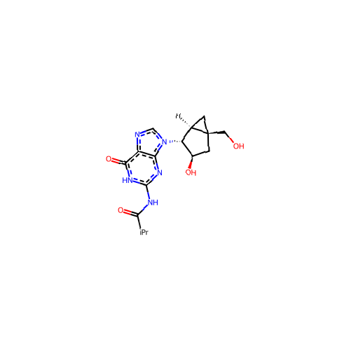 CC(C)C(=O)Nc1nc2c(ncn2[C@H]2[C@H](O)C[C@@]3(CO)C[C@H]23)c(=O)[nH]1